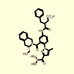 CCCCN(CCCC)C(=O)c1cc(C)n(-c2ccc(NC(=O)C(CC(=O)O)Cc3ccccc3)cc2C(=O)N2Cc3ccccc3C[C@H]2CO)n1